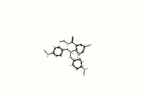 C=C(OCC)c1cc(F)cnc1N(Cc1ccc(OC)cc1)Cc1ccc(OC)cc1